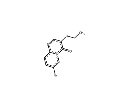 CCOc1cnc2ccc(Br)cn2c1=O